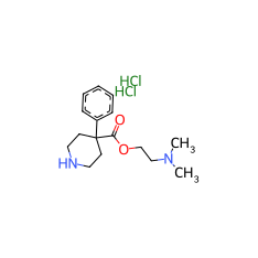 CN(C)CCOC(=O)C1(c2ccccc2)CCNCC1.Cl.Cl